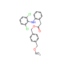 O=C(Cc1ccccc1Nc1c(Cl)cccc1Cl)OCc1ccc(CO[N+](=O)[O-])cc1